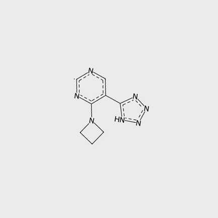 [c]1ncc(-c2nnn[nH]2)c(N2CCC2)n1